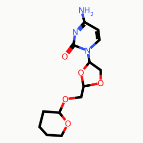 Nc1ccn(C2COC(COC3CCCCO3)O2)c(=O)n1